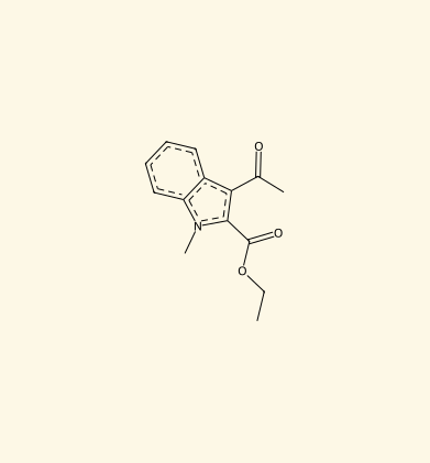 CCOC(=O)c1c(C(C)=O)c2ccccc2n1C